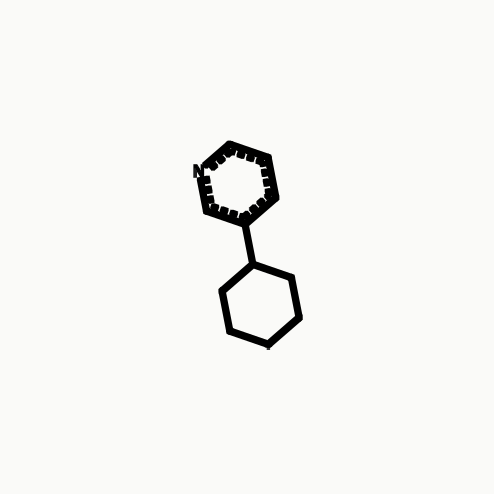 [CH]1CCC(c2cccnc2)CC1